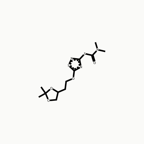 CN(C)C(=O)Sc1nsc(OCCC2COC(C)(C)O2)n1